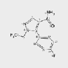 NC(=O)c1cnn(CC(F)(F)F)c1-c1ccc(F)cc1